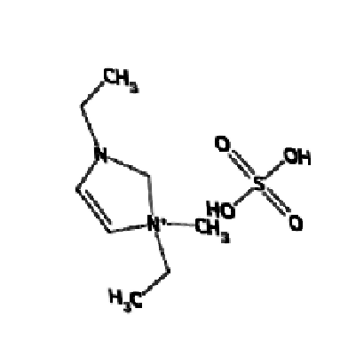 CCN1C=C[N+](C)(CC)C1.O=S(=O)(O)O